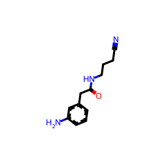 N#CCCCNC(=O)Cc1cccc(N)c1